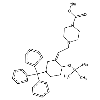 CC(C)(C)OC(=O)N1CCN(CC=C2CN(C(c3ccccc3)(c3ccccc3)c3ccccc3)CCC2O[Si](C)(C)C(C)(C)C)CC1